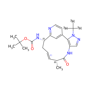 [2H]C([2H])([2H])n1ncc2c1-c1ccnc(c1)[C@@H](NC(=O)OC(C)(C)C)C/C=C/[C@@H](C)C(=O)N2